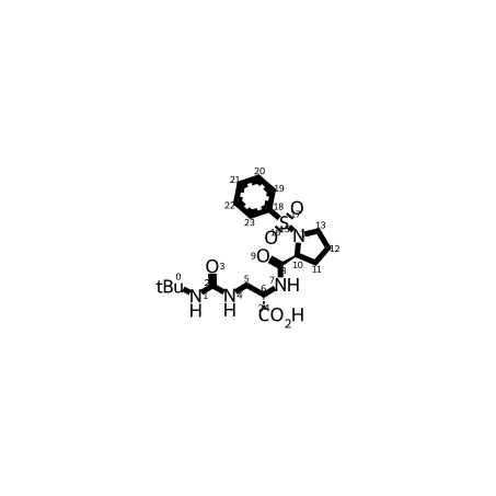 CC(C)(C)NC(=O)NC[C@H](NC(=O)[C@@H]1CCCN1S(=O)(=O)c1ccccc1)C(=O)O